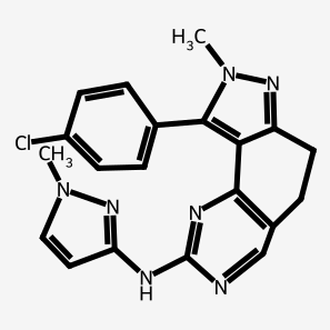 Cn1ccc(Nc2ncc3c(n2)-c2c(nn(C)c2-c2ccc(Cl)cc2)CC3)n1